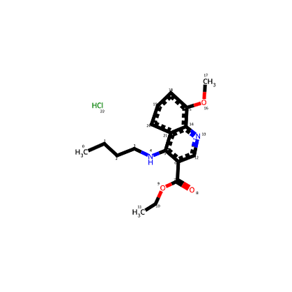 CCCCNc1c(C(=O)OCC)cnc2c(OC)cccc12.Cl